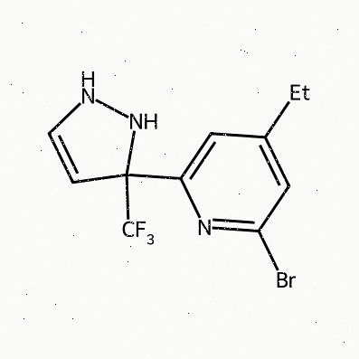 CCc1cc(Br)nc(C2(C(F)(F)F)C=CNN2)c1